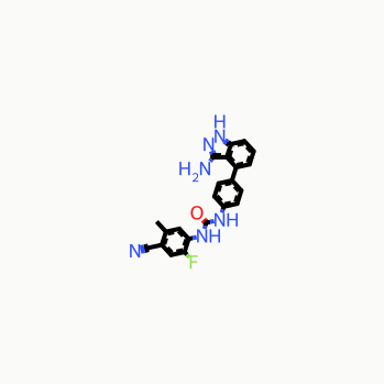 Cc1cc(NC(=O)Nc2ccc(-c3cccc4[nH]nc(N)c34)cc2)c(F)cc1C#N